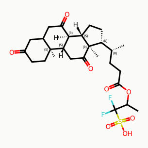 CC(OC(=O)CC[C@@H](C)[C@H]1CC[C@H]2[C@@H]3C(=O)CC4CC(=O)CC[C@]4(C)[C@H]3CC(=O)[C@]12C)C(F)(F)S(=O)(=O)O